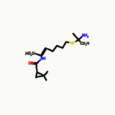 CC(N)(SCCCC/C=C(\NC(=O)C1CC1(C)C)C(=O)O)C(=O)O